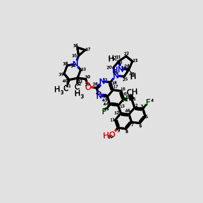 C#Cc1c(F)ccc2cc(O)cc(-c3c(F)cc4c(N5C[C@H]6CC[C@@H](C5)N6)nc(OCC5(C)CN(C6CC6)CCC5C)nc4c3F)c12